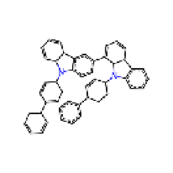 C1=CCC(C2=CCC(N3c4ccc(C5=CC=CC6c7ccccc7N(C7C=CC(c8ccccc8)CC7)C56)cc4C4C=CC=CC43)C=C2)C=C1